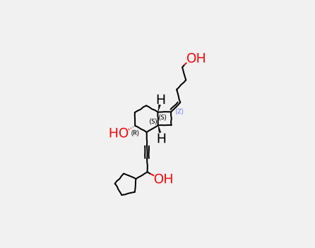 OCCC/C=C1/C[C@@H]2C(C#CC(O)C3CCCC3)[C@H](O)CC[C@H]12